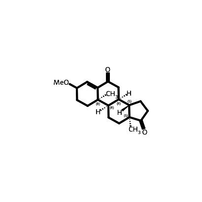 COC1C=C2C(=O)C[C@@H]3[C@@H](CC[C@]4(C)C(=O)CC[C@@H]34)[C@@]2(C)CC1